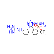 N=C(N)NC[C@H]1CC[C@H](c2ccc(C(F)(F)F)c(S(N)(=O)=O)c2-c2nnn[nH]2)CC1